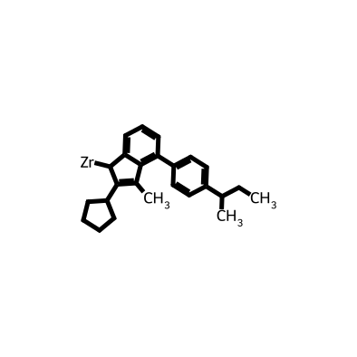 CCC(C)c1ccc(-c2cccc3c2C(C)=C(C2CCCC2)[CH]3[Zr])cc1